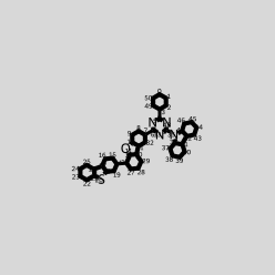 c1ccc(-c2nc(-c3ccc4oc5c(-c6ccc7c(c6)sc6ccccc67)cccc5c4c3)nc(-n3c4ccccc4c4ccccc43)n2)cc1